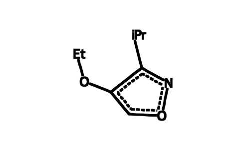 CCOc1conc1C(C)C